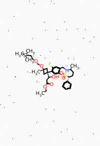 CCOC(=O)CC(O)[C@]1(c2cc(F)c(CN3[C@@H](C)CC[C@H](c4ccccc4)S3(=O)=O)cc2F)C[C@@](C)(OCOCC[Si](C)(C)C)C1